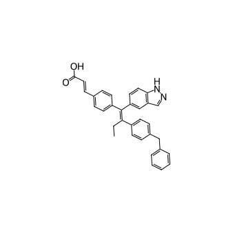 CCC(=C(c1ccc(C=CC(=O)O)cc1)c1ccc2[nH]ncc2c1)c1ccc(Cc2ccccc2)cc1